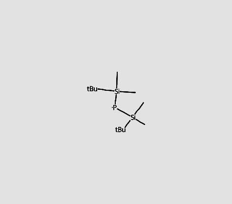 CC(C)(C)[Si](C)(C)[P][Si](C)(C)C(C)(C)C